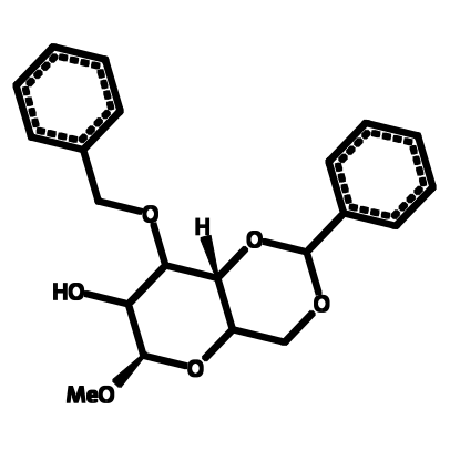 CO[C@@H]1OC2COC(c3ccccc3)O[C@H]2C(OCc2ccccc2)C1O